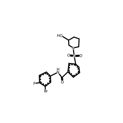 O=C(Nc1ccc(F)c(Br)c1)c1cccc(S(=O)(=O)N2CCCC(O)C2)c1